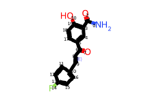 NC(=O)c1cc(C(=O)/C=C/c2ccc(F)cc2)ccc1O